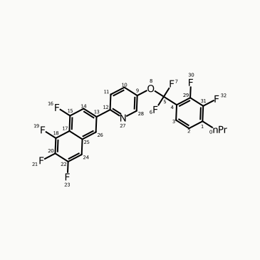 CCCc1ccc(C(F)(F)Oc2ccc(-c3cc(F)c4c(F)c(F)c(F)cc4c3)nc2)c(F)c1F